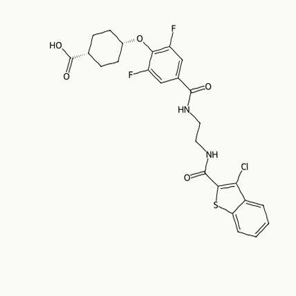 O=C(NCCNC(=O)c1sc2ccccc2c1Cl)c1cc(F)c(O[C@H]2CC[C@@H](C(=O)O)CC2)c(F)c1